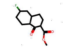 COC(=O)C1CCC2CC(F)CCC2C1=O